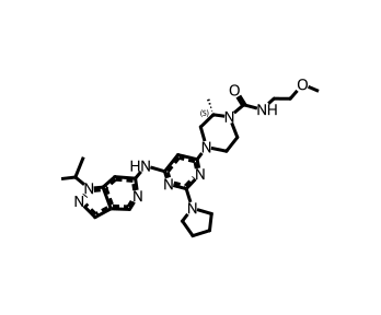 COCCNC(=O)N1CCN(c2cc(Nc3cc4c(cn3)cnn4C(C)C)nc(N3CCCC3)n2)C[C@@H]1C